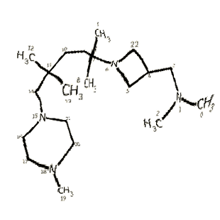 CN(C)CC1CN(C(C)(C)CC(C)(C)CN2CCN(C)CC2)C1